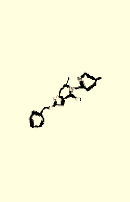 Cc1ccc(N2C(=O)c3cc(OCc4ccccc4)nn3C[C@H]2C)nc1